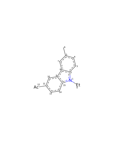 CCn1c2ccc(C)cc2c2cc(C(C)=O)ccc21